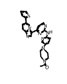 CC(=O)N1CCN(c2ccc(Nc3nccc(-c4cnc5ccc(-c6cccs6)cn45)n3)nc2)CC1